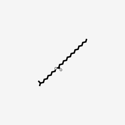 CCCCCCCCCCCCCCCC(=O)OCCCCCCCC(C)C